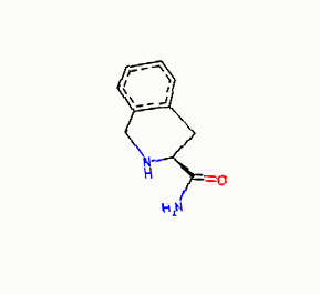 NC(=O)[C@@H]1Cc2ccccc2CN1